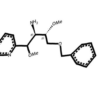 COC(c1ccccn1)[C@@H](N)[C@@H](COCc1ccccc1)OC